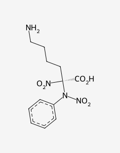 NCCCC[C@@](C(=O)O)(N(c1ccccc1)[N+](=O)[O-])[N+](=O)[O-]